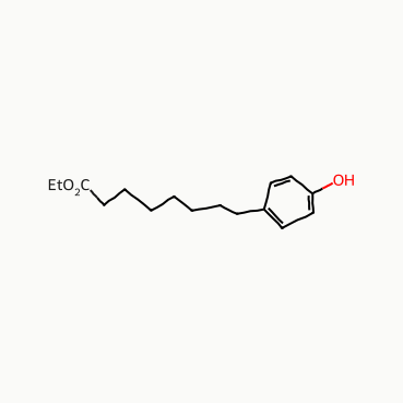 CCOC(=O)CCCCCCCc1ccc(O)cc1